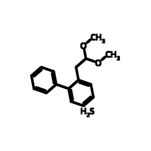 COC(Cc1ccccc1-c1ccccc1)OC.S